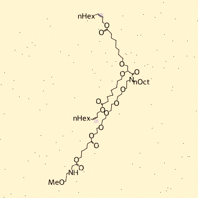 CCCCCC/C=C\COC(=O)CCCCCCCOCC(OCCCCCCCC(=O)OC/C=C\CCCCCC)C(=O)N(CCCCCCCC)CCOCCOCCOCCOCCOC(=O)CCCCOC(=O)CNCCOC